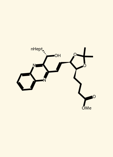 CCCCCCC[C@H](O)c1nc2ccccc2nc1/C=C/[C@H]1OC(C)(C)O[C@H]1CCCC(=O)OC